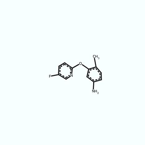 Cc1ccc(N)cc1Oc1ccc(F)cn1